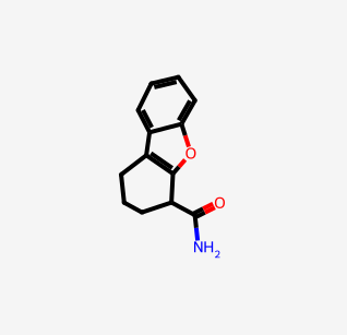 NC(=O)C1CCCc2c1oc1ccccc21